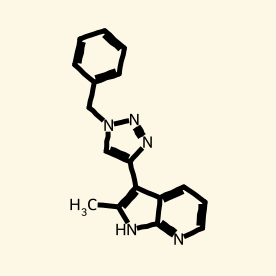 Cc1[nH]c2ncccc2c1-c1cn(Cc2ccccc2)nn1